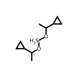 CC(O[SiH2]OC(C)C1CC1)C1CC1